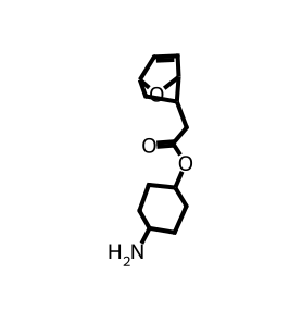 NC1CCC(OC(=O)CC2CC3C=CC2O3)CC1